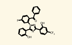 O=C(c1ccccc1)c1ccc(F)cc1-n1nc(-c2ccc(C(F)(F)F)cc2O)nc1-c1ccccc1O